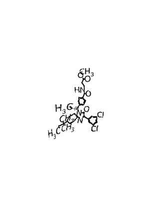 CC[C@H](c1ccc(C(=O)NCCC(=O)OC)cc1)N1C(=O)C(c2cc(Cl)cc(Cl)c2)=NC12CCC(C(C)(C)CC)CC2